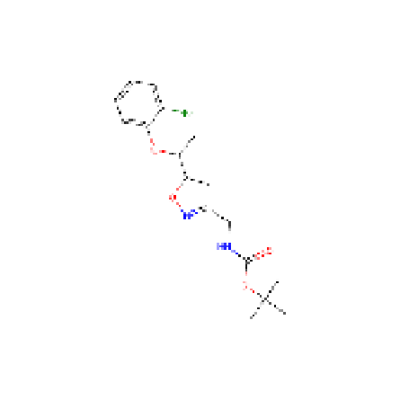 CC(Oc1ccccc1Br)C1CC(CNC(=O)OC(C)(C)C)=NO1